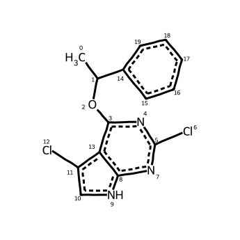 CC(Oc1nc(Cl)nc2[nH]cc(Cl)c12)c1ccccc1